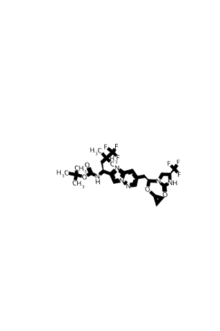 CC(C)(C)OC(=O)N[C@@H](CC(C)(C)C(F)(F)F)c1cn2ncc(C[C@H](OC3CC3)N3C[C@@H](C(F)(F)F)NC3=O)cc2n1